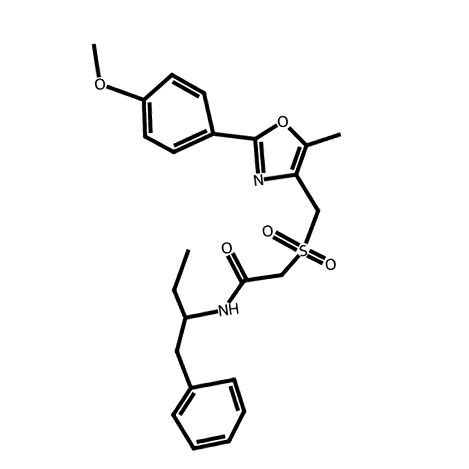 CCC(Cc1ccccc1)NC(=O)CS(=O)(=O)Cc1nc(-c2ccc(OC)cc2)oc1C